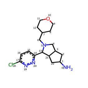 NC1CC2CN(CC3CCOCC3)C(c3ccc(Cl)nn3)C2C1